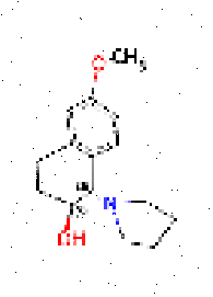 COc1ccc2c(c1)CC[C@H](O)[C@H]2N1CCCC1